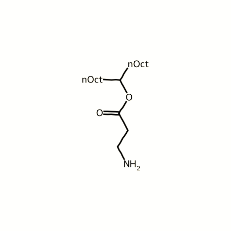 CCCCCCCCC(CCCCCCCC)OC(=O)CCN